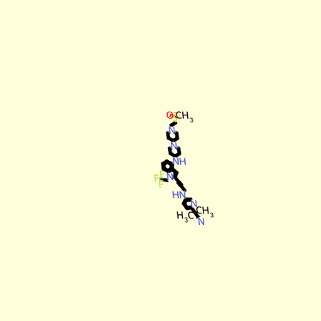 C[S+]([O-])CCN1CCC(N2CCC(Nc3cccc4c3cc(C#CCNc3ccc(C(C)(C)C#N)nc3)n4CC(F)(F)F)CC2)CC1